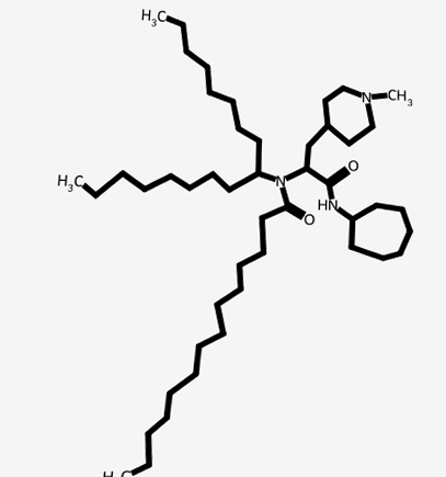 CCCCCCCCCCCCCC(=O)N(C(CCCCCCCC)CCCCCCCC)C(CC1CCN(C)CC1)C(=O)NC1CCCCCC1